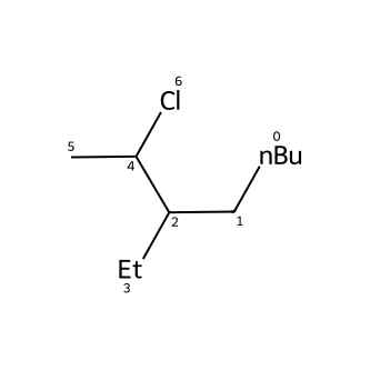 CCCCCC(CC)C(C)Cl